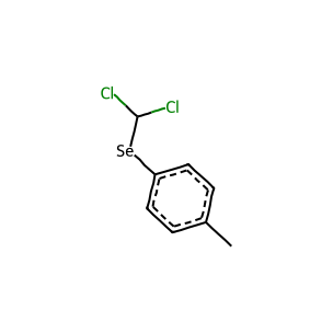 Cc1ccc([Se]C(Cl)Cl)cc1